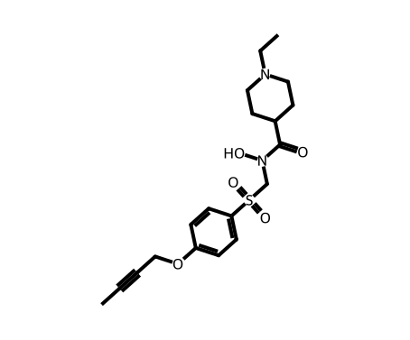 CC#CCOc1ccc(S(=O)(=O)CN(O)C(=O)C2CCN(CC)CC2)cc1